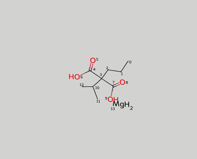 CCCC(C(=O)O)(C(=O)O)C(C)C.[MgH2]